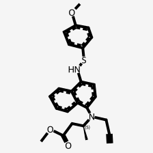 C#CCN(c1ccc(NSc2ccc(OC)cc2)c2ccccc12)[C@@H](C)CC(=O)OC